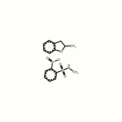 CC1Cc2ccccc2O1.CNS(=O)(=O)c1ccccc1[N+](=O)[O-]